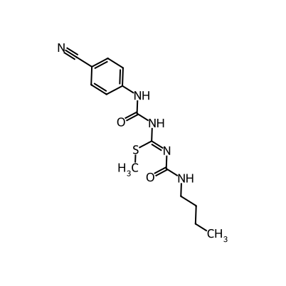 CCCCNC(=O)N=C(NC(=O)Nc1ccc(C#N)cc1)SC